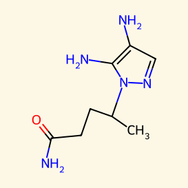 CC(CCC(N)=O)n1ncc(N)c1N